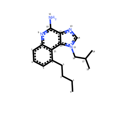 CCCCc1cccc2nc(N)c3ncn(CC(C)C)c3c12